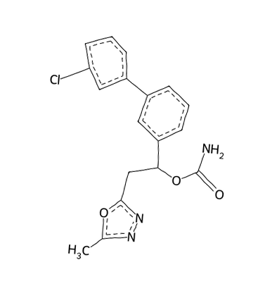 Cc1nnc(CC(OC(N)=O)c2cccc(-c3cccc(Cl)c3)c2)o1